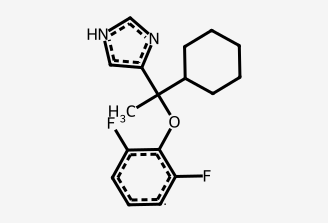 CC(Oc1c(F)[c]ccc1F)(c1c[nH]cn1)C1CCCCC1